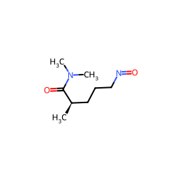 C[C@H](CCCN=O)C(=O)N(C)C